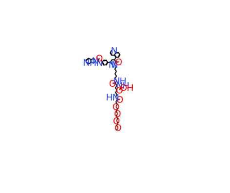 COCCOCCOCCOCCC(=O)NCCCCC(NC(=O)O)C(=O)NCCCCCCN1N=C(c2ccc(NC(=O)N3Cc4ccncc4C3)cc2)CC(c2cccc3ncccc23)C1=O